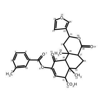 Cc1cccc(C(=O)OC2=CC(C(=O)O)C3(C)CCC4C(=O)OC(c5ccoc5)CC4(C)C3C2=O)c1